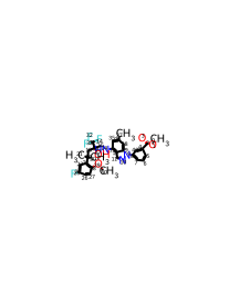 COC(=O)c1cccc(-n2ncc3c(NCC(O)(CC(C)(C)c4cc(F)ccc4OC)C(F)(F)F)cc(C)cc32)c1